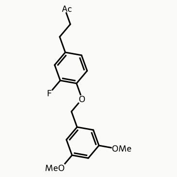 COc1cc(COc2ccc(CCC(C)=O)cc2F)cc(OC)c1